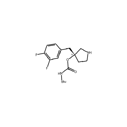 CC(C)(C)NC(=O)O[C@@]1(Cc2ccc(F)c(F)c2)CCNC1